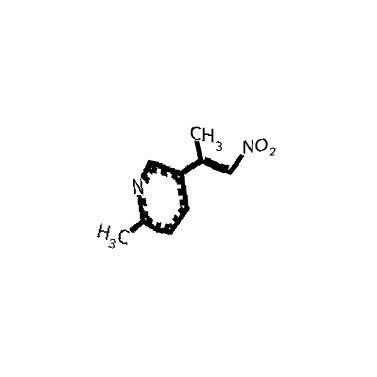 C/C(=C\[N+](=O)[O-])c1ccc(C)nc1